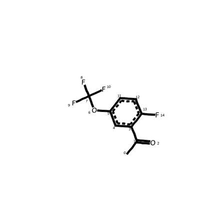 CC(=O)c1cc(OC(F)(F)F)ccc1F